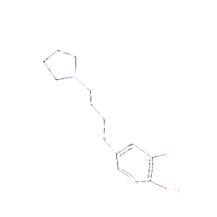 Oc1ccc(CCCCN2CCCC2)cc1O